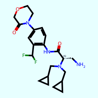 NC[C@@H](C(=O)Nc1ccc(N2CCOCC2=O)cc1C(F)F)N(CC1CC1)CC1CC1